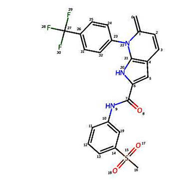 C=C1C=Cc2cc(C(=O)Nc3cccc(S(C)(=O)=O)c3)[nH]c2N1c1ccc(C(F)(F)F)cc1